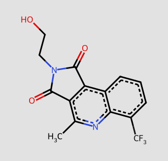 Cc1nc2c(C(F)(F)F)cccc2c2c1C(=O)N(CCO)C2=O